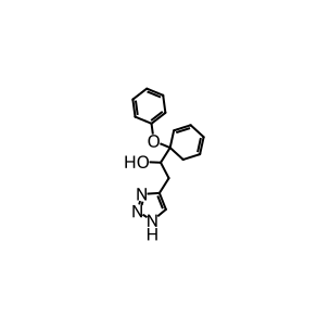 OC(Cc1c[nH]nn1)C1(Oc2ccccc2)C=CC=CC1